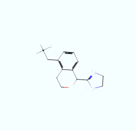 FC(F)(F)Cc1cccc2c1CCOC2C1=NCCN1